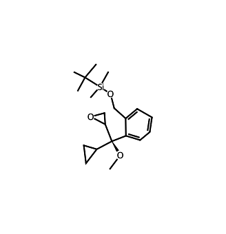 CO[C@@](c1ccccc1CO[Si](C)(C)C(C)(C)C)(C1CC1)C1CO1